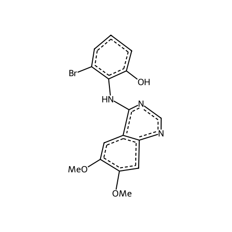 COc1cc2ncnc(Nc3c(O)cccc3Br)c2cc1OC